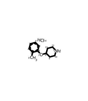 Cc1ccccc1OC1CCNCC1.Cl